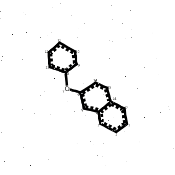 [c]1cccc2cc(Oc3ccccc3)ccc12